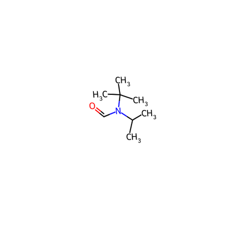 CC(C)N(C=O)C(C)(C)C